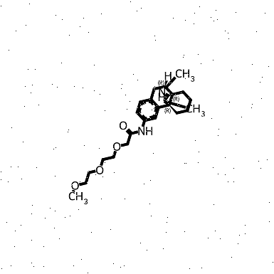 COCCOCCOCC(=O)Nc1ccc2c(c1)[C@@]13CCCC[C@H]1[C@@H](C2)N(C)CC3C